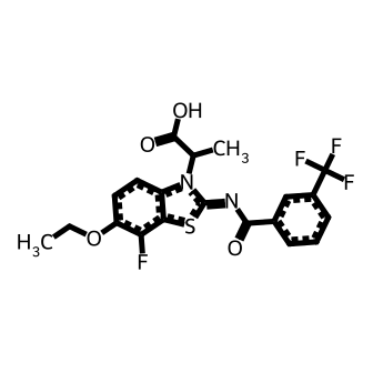 CCOc1ccc2c(sc(=NC(=O)c3cccc(C(F)(F)F)c3)n2C(C)C(=O)O)c1F